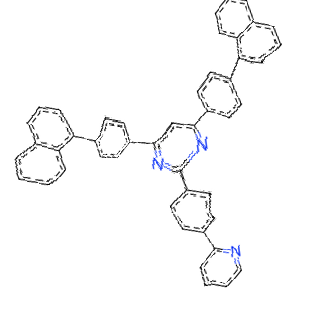 c1ccc(-c2ccc(-c3nc(-c4ccc(-c5cccc6ccccc56)cc4)cc(-c4ccc(-c5cccc6ccccc56)cc4)n3)cc2)nc1